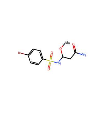 CC(C)(C)OC(CC([NH])=O)NS(=O)(=O)c1ccc(Br)cc1